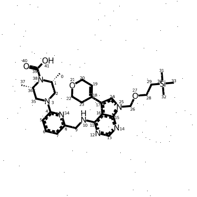 C[C@@H]1CN(c2cccc(CNc3ncnc4c3c(C3=CCOCC3)cn4COCC[Si](C)(C)C)n2)C[C@H](C)N1C(=O)O